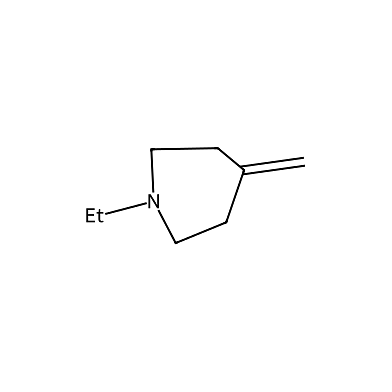 [CH2]CN1CCC(=C)CC1